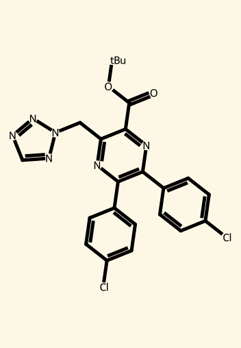 CC(C)(C)OC(=O)c1nc(-c2ccc(Cl)cc2)c(-c2ccc(Cl)cc2)nc1Cn1ncnn1